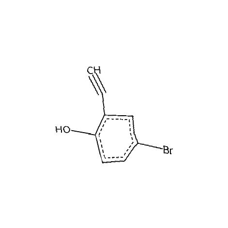 C#Cc1cc(Br)ccc1O